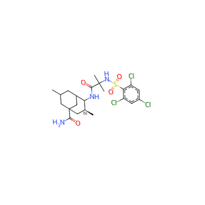 CC1CC2CC(C(N)=O)(C1)C[C@H](C)C2NC(=O)C(C)(C)NS(=O)(=O)c1c(Cl)cc(Cl)cc1Cl